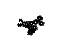 N#Cc1cc2nc(-c3ccc(-c4ccc(N(c5ccccc5)c5ccccc5)cc4)cc3)c(-c3ccc(P(=O)(c4ccccc4)c4ccccc4)cc3)nc2cc1C#N